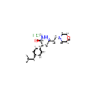 CC(C)Cc1ccc([C@@H](CCCCN2CCOCC2)C(N)=O)cc1.Cl